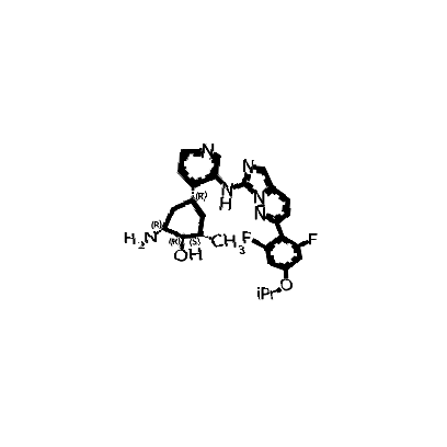 CC(C)Oc1cc(F)c(-c2ccc3cnc(Nc4cnccc4[C@H]4C[C@@H](N)[C@H](O)[C@@H](C)C4)n3n2)c(F)c1